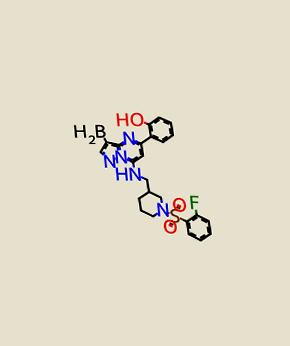 Bc1cnn2c(NCC3CCCN(S(=O)(=O)c4ccccc4F)C3)cc(-c3ccccc3O)nc12